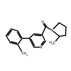 Cc1ccccc1-c1cncc(C(=O)N2CCCC2C)c1